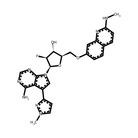 CNc1ccc2ccc(OC[C@H]3O[C@@H](n4cc(-c5ccn(C)n5)c5c(N)ncnc54)[C@@H](F)[C@@H]3O)cc2n1